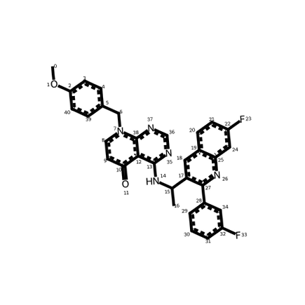 COc1ccc(Cn2ccc(=O)c3c(NC(C)c4cc5ccc(F)cc5nc4-c4cccc(F)c4)ncnc32)cc1